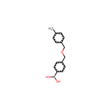 Cc1ccc(COCc2ccc(B(O)O)cc2)cc1